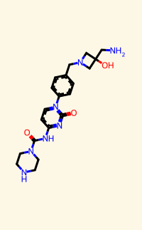 NCC1(O)CN(Cc2ccc(-n3ccc(NC(=O)N4CCNCC4)nc3=O)cc2)C1